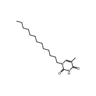 CCCCCCCCCCCCCn1cc(C)c(=O)[nH]c1=O